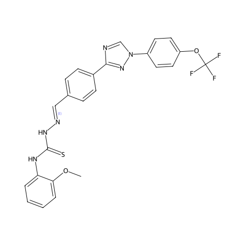 COc1ccccc1NC(=S)N/N=C/c1ccc(-c2ncn(-c3ccc(OC(F)(F)F)cc3)n2)cc1